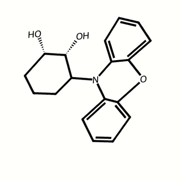 O[C@@H]1C(N2c3ccccc3Oc3ccccc32)CCC[C@@H]1O